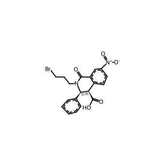 O=C(O)[C@@H]1c2ccc([N+](=O)[O-])cc2C(=O)N(CCCBr)[C@@H]1c1ccccc1